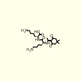 CC(N[C@@H](CCCCN)C(=O)N[C@@H](CCCCN)C(=O)O)=C1C(=O)CC(C)(C)CC1=O